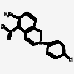 Cc1ccc2c(c1[N+](=O)[O-])C=CN(c1ccc(Cl)cc1)C2